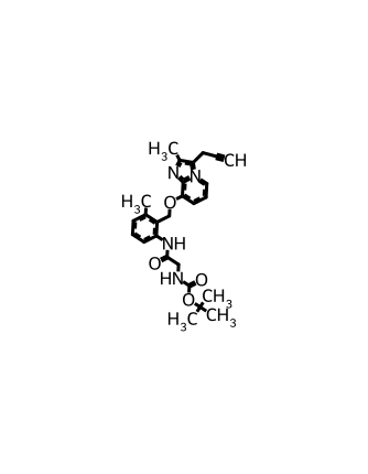 C#CCc1c(C)nc2c(OCc3c(C)cccc3NC(=O)CNC(=O)OC(C)(C)C)cccn12